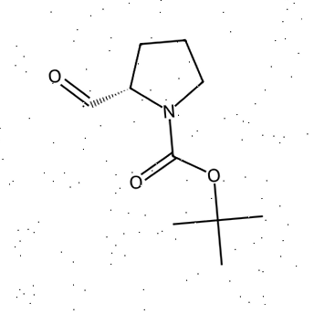 CC(C)(C)OC(=O)N1CCC[C@H]1[C]=O